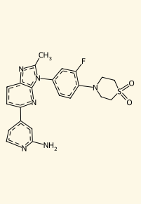 Cc1nc2ccc(-c3ccnc(N)c3)nc2n1-c1ccc(N2CCS(=O)(=O)CC2)c(F)c1